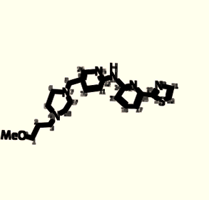 COCCCN1CCN(Cc2ccc(Nc3cccc(-c4nccs4)n3)nc2)CC1